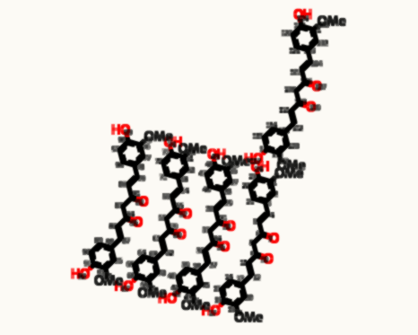 COc1cc(C=CC(=O)CC(=O)C=Cc2ccc(O)c(OC)c2)ccc1O.COc1cc(C=CC(=O)CC(=O)C=Cc2ccc(O)c(OC)c2)ccc1O.COc1cc(C=CC(=O)CC(=O)C=Cc2ccc(O)c(OC)c2)ccc1O.COc1cc(C=CC(=O)CC(=O)C=Cc2ccc(O)c(OC)c2)ccc1O.COc1cc(C=CC(=O)CC(=O)C=Cc2ccc(O)c(OC)c2)ccc1O